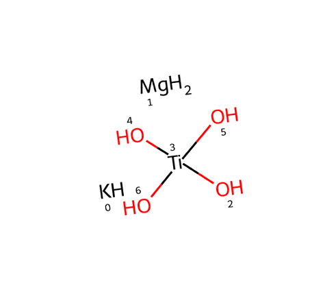 [KH].[MgH2].[OH][Ti]([OH])([OH])[OH]